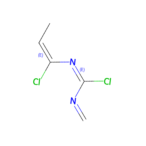 C=N/C(Cl)=N\C(Cl)=C/C